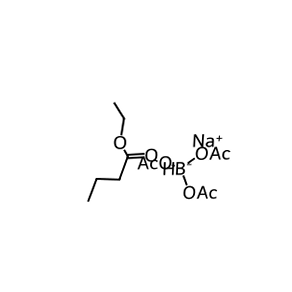 CC(=O)O[BH-](OC(C)=O)OC(C)=O.CCCC(=O)OCC.[Na+]